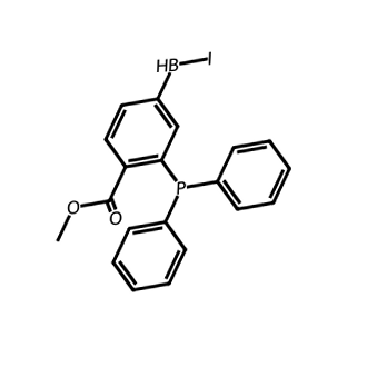 COC(=O)c1ccc(BI)cc1P(c1ccccc1)c1ccccc1